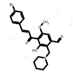 COc1cc(C=O)c(CN2CCCCC2)c(O)c1C(=O)/C=C/c1ccc(Br)cc1